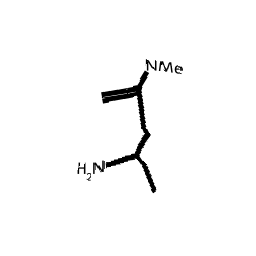 C=C(CC(C)N)NC